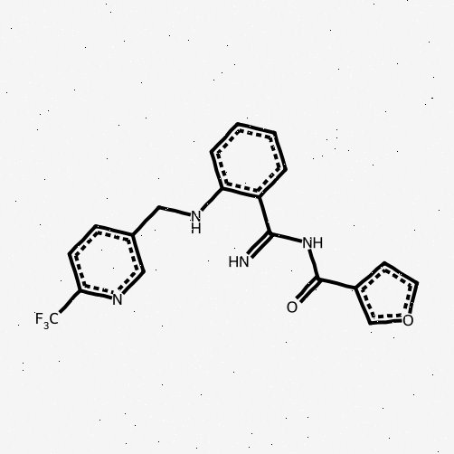 N=C(NC(=O)c1ccoc1)c1ccccc1NCc1ccc(C(F)(F)F)nc1